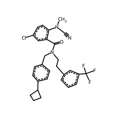 CN(C#N)c1ccc(Cl)cc1C(=O)N(CCc1cccc(C(F)(F)F)c1)Cc1ccc(C2CCC2)cc1